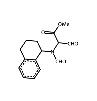 COC(=O)C(C=O)N(C=O)C1CCCc2ccccc21